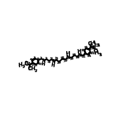 CC(C)c1ccc(CNCCCNCCCCNCCCNCc2ccc(C(C)C)cc2)cc1